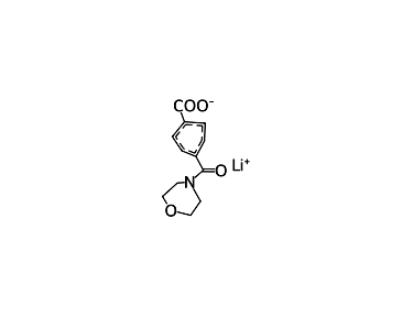 O=C([O-])c1ccc(C(=O)N2CCOCC2)cc1.[Li+]